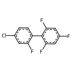 Fc1[c]c(F)c(-c2ccc(Cl)cc2F)c(F)c1